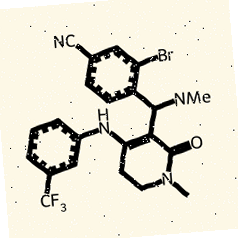 CNC(C1=C(Nc2cccc(C(F)(F)F)c2)CCN(C)C1=O)c1ccc(C#N)cc1Br